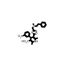 CC1=C(C(=O)O)C(c2cccc([N+](=O)[O-])c2)C(c2nc(CN(C)CCc3ccccc3)no2)=C(C)N1